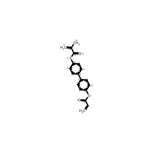 C=CC(=O)Sc1ccc(-c2ccc(SC(=O)C(=C)C)cc2)cc1